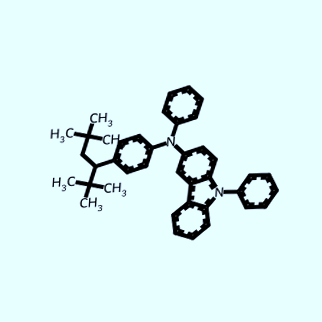 CC(C)(C)CC(c1ccc(N(c2ccccc2)c2ccc3c(c2)c2ccccc2n3-c2ccccc2)cc1)C(C)(C)C